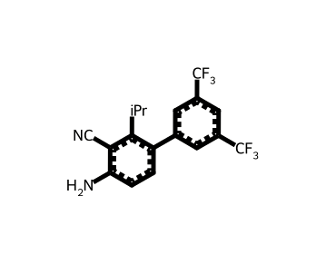 CC(C)c1c(-c2cc(C(F)(F)F)cc(C(F)(F)F)c2)ccc(N)c1C#N